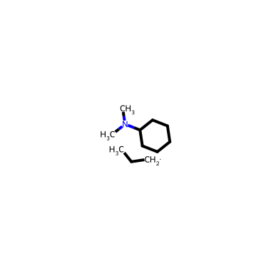 CN(C)C1CCCCC1.[CH2]CC